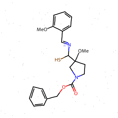 COc1ccccc1/C=N/C(S)C1(OC)CCN(C(=O)OCc2ccccc2)C1